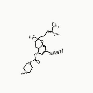 CCCCCc1cc(OC(=O)N2CCNCC2)c2c(c1)OC(C)(CCC=C(C)C)C=C2